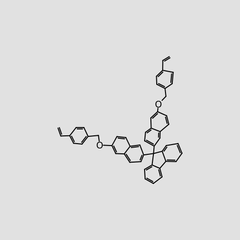 C=Cc1ccc(COc2ccc3cc(C4(c5ccc6cc(OCc7ccc(C=C)cc7)ccc6c5)c5ccccc5-c5ccccc54)ccc3c2)cc1